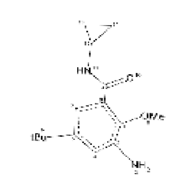 COc1c(N)cc(C(C)(C)C)cc1C(=O)NC1CC1